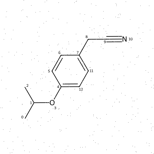 CC(C)Oc1ccc(CC#N)cc1